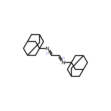 C(/C=N/C12CC3CC(CC(C3)C1)C2)=N\C12CC3CC(CC(C3)C1)C2